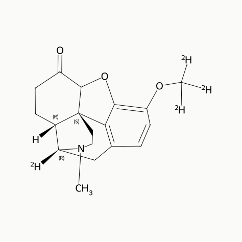 [2H]C([2H])([2H])Oc1ccc2c3c1OC1C(=O)CC[C@@H]4[C@@]31CCN(C)[C@]4([2H])C2